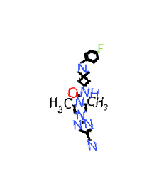 C[C@@H]1CN(c2ncc(C#N)cn2)C[C@@H](C)N1C(=O)NC1CC2(C1)CN(Cc1ccc(F)cc1)C2